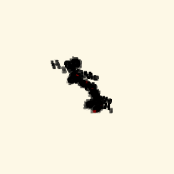 COc1c(CON(C)c2ccccc2)cc2ccccc2c1N=Nc1ccc(-c2nnc(-c3ccc(N=Nc4c(OC)c(C(=O)N(C)c5ccccc5)cc5ccccc45)cc3)o2)cc1